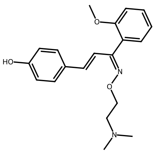 COc1ccccc1C(C=Cc1ccc(O)cc1)=NOCCN(C)C